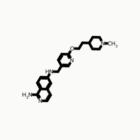 CN1CCC(CCOc2ccc(CNc3ccc4c(N)nccc4c3)cn2)CC1